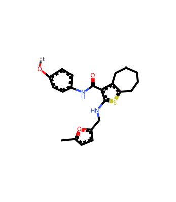 CCOc1ccc(NC(=O)c2c(NCc3ccc(C)o3)sc3c2CCCCC3)cc1